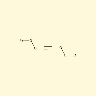 CCOOC#COOCC